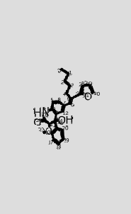 CCCCC/C(=C\c1ccc2c(c1)C(O)(c1ccccc1)C(OC)C(=O)N2)c1ccco1